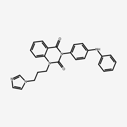 O=c1c2ccccc2n(CCCn2ccnc2)c(=O)n1-c1ccc(Nc2ccccc2)cc1